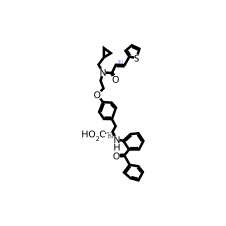 O=C(c1ccccc1)c1ccccc1N[C@@H](Cc1ccc(OCCN(CC2CC2)C(=O)/C=C/c2cccs2)cc1)C(=O)O